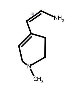 CN1CC=C(/C=C\N)CC1